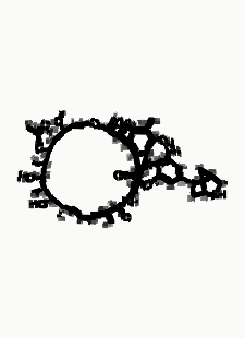 CO[C@H]1/C=C/OC2(C)Oc3c(C)c(O)c4c(=O)c(c5oc6cc(N7CC8NCC9CC987)cc(O)c6nc-5c4c3C2=O)NC(=O)/C(C)=C\C=C\[C@H](C)[C@H](O)[C@@H](C)[C@@H](O)[C@@H](C)[C@H](OC(C)=O)[C@@H]1C